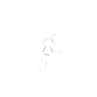 CCCCC(C)(CCCC)c1cc(Cl)c2nc(C(C)(C)CCC)cnc2c1